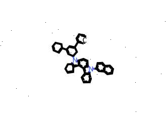 C1=CCCC(C2=CC(n3c4c(c5c6c7ccccc7n(-c7ccc8ccccc8c7)c6ccc53)C=CCC4)CC(c3ccccc3)=C2)=C1